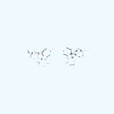 CC[C@H]1CC[C@H](C2([C@]3(OC)C=C[C@H](COC[C@H]4C=C[C@@](OC)(C5([C@H]6CC[C@H](CC)CC6)CCCCC5)C=C4)C=C3)CCCCC2)CC1